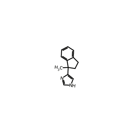 CC1(c2c[nH]cn2)CCc2ccccc21